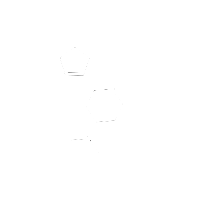 C[C@@H]1C[C@H](N(C)C)C[C@H](C2=CCCC2)O1